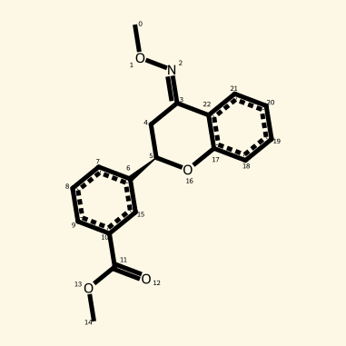 CON=C1C[C@H](c2cccc(C(=O)OC)c2)Oc2ccccc21